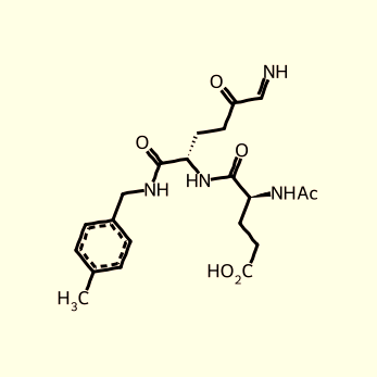 CC(=O)N[C@@H](CCC(=O)O)C(=O)N[C@@H](CCC(=O)C=N)C(=O)NCc1ccc(C)cc1